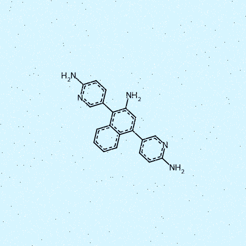 Nc1ccc(-c2cc(N)c(-c3ccc(N)nc3)c3ccccc23)cn1